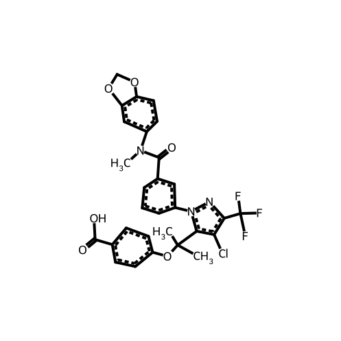 CN(C(=O)c1cccc(-n2nc(C(F)(F)F)c(Cl)c2C(C)(C)Oc2ccc(C(=O)O)cc2)c1)c1ccc2c(c1)OCO2